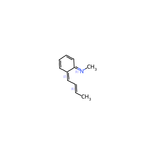 C/C=C/C=C1/C=CC=C/C1=N\C